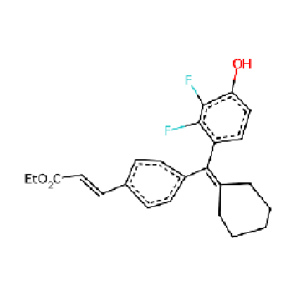 CCOC(=O)/C=C/c1ccc(C(=C2CCCCC2)c2ccc(O)c(F)c2F)cc1